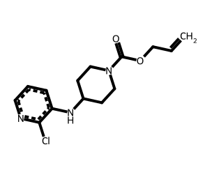 C=CCOC(=O)N1CCC(Nc2cccnc2Cl)CC1